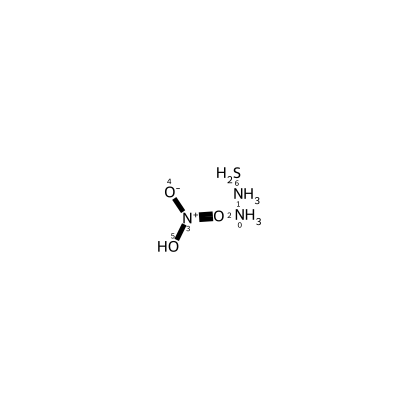 N.N.O=[N+]([O-])O.S